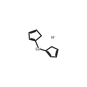 C1=CC[C]([Lu+][C]2=CC=CC2)=C1.[H-]